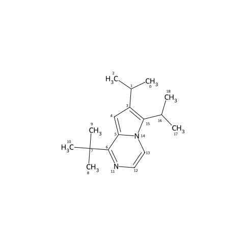 CC(C)c1cc2c(C(C)(C)C)nccn2c1C(C)C